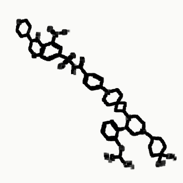 CC(C)Oc1ccccc1[C@@H]1CN(C2CCC(C)(O)CC2)CCN1C1CC2(CCN(c3ccc(C(=O)NS(=O)(=O)c4cc5c(c([N+](=O)[O-])c4)N[C@H](C4CCOCC4)CO5)cc3)CC2)C1